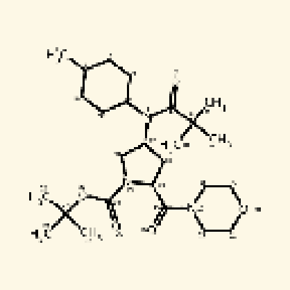 CC1CCC(N(C(=O)C(C)(C)C)[C@H]2C[C@@H](C(=O)N3CCOCC3)N(C(=O)OC(C)(C)C)C2)CC1